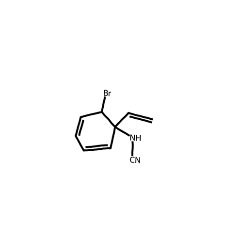 C=CC1(NC#N)C=CC=CC1Br